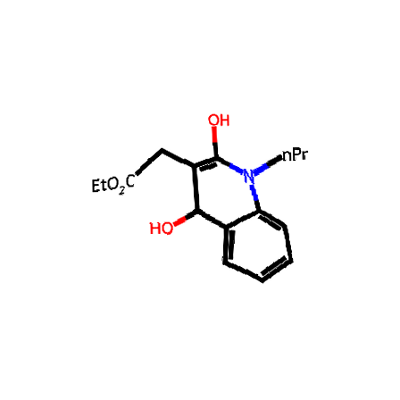 CCCN1C(O)=C(CC(=O)OCC)C(O)c2ccccc21